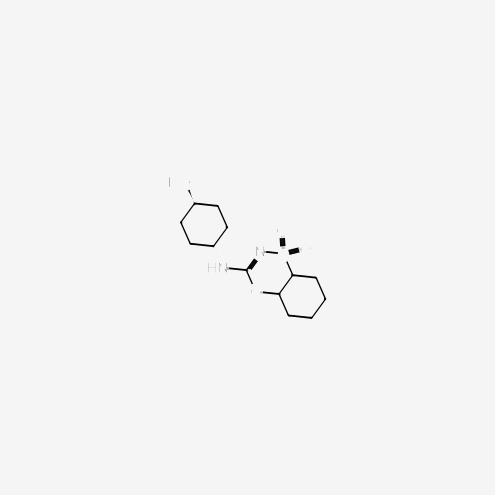 O=S1(=O)N=C(N[C@H]2CC[C@H](O)CC2)OC2CCCCC21